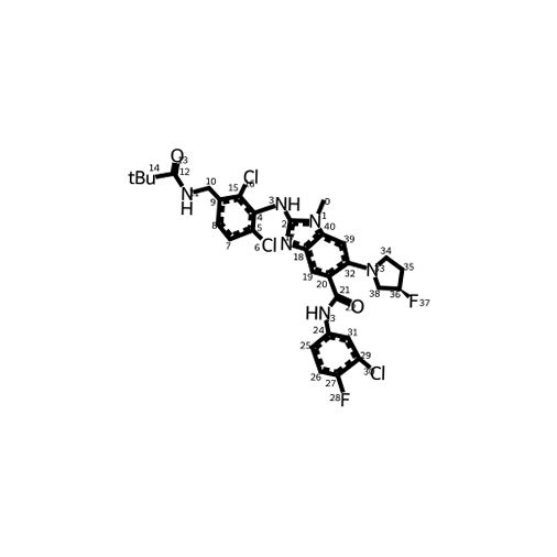 Cn1c(Nc2c(Cl)ccc(CNC(=O)C(C)(C)C)c2Cl)nc2cc(C(=O)Nc3ccc(F)c(Cl)c3)c(N3CC[C@@H](F)C3)cc21